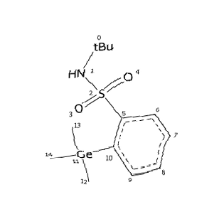 CC(C)(C)NS(=O)(=O)c1cccc[c]1[Ge]([CH3])([CH3])[CH3]